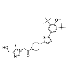 COc1c(C(C)(C)C)cc(-c2ncc(C3CCN(C(=O)Cn4cnc(CO)c4C)CC3)s2)cc1C(C)(C)C